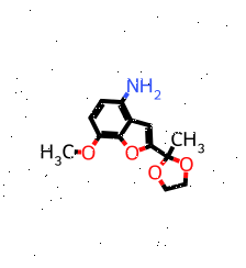 COc1ccc(N)c2cc(C3(C)OCCO3)oc12